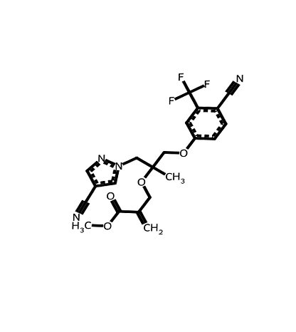 C=C(COC(C)(COc1ccc(C#N)c(C(F)(F)F)c1)Cn1cc(C#N)cn1)C(=O)OC